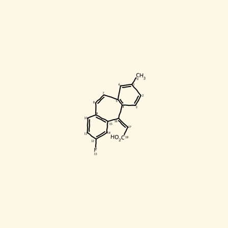 Cc1ccc2c(c1)C=Cc1ccc(F)cc1/C2=C\C(=O)O